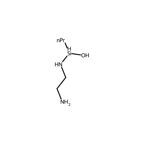 CCC[SiH](O)NCCN